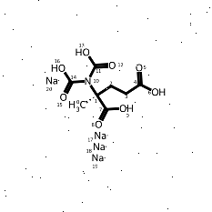 C[C@](CCC(=O)O)(C(=O)O)N(C(=O)O)C(=O)O.[Na].[Na].[Na].[Na]